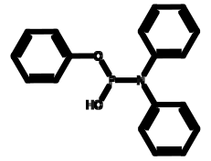 OP(Oc1ccccc1)N(c1ccccc1)c1ccccc1